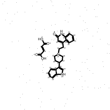 O=C(O)C=CC(=O)O.O=c1cc(CCN2CCC(c3c[nH]c4ccccc34)CC2)c2ccccc2[nH]1